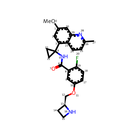 COc1cc(C2(NC(=O)c3cc(OC[C@@H]4CCN4)ccc3F)CC2)c2ccc(C)nc2c1